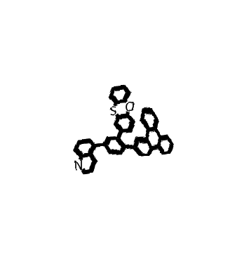 c1ccc2c(c1)Oc1ccc(-c3cc(-c4cccc5ncccc45)ccc3-c3ccc4c5ccccc5c5ccccc5c4c3)cc1S2